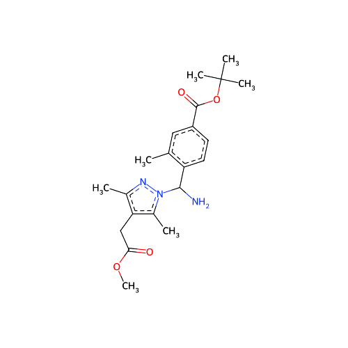 COC(=O)Cc1c(C)nn(C(N)c2ccc(C(=O)OC(C)(C)C)cc2C)c1C